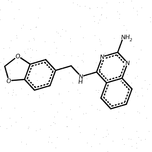 Nc1nc(NCc2ccc3c(c2)OCO3)c2ccccc2n1